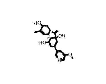 C=C(C)C1(O)C=C(c2cncc(OC)c2)C=C(O)[C@@H]1C1C=C(C)C(O)CC1